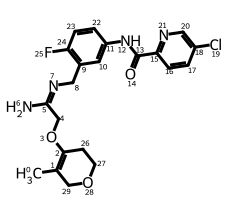 CC1=C(OC/C(N)=N\Cc2cc(NC(=O)c3ccc(Cl)cn3)ccc2F)CCOC1